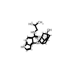 CC(O)CNC(=O)c1cnc2[nH]ccc2c1N[C@H]1C2CC3CC1C[C@@](O)(C3)C2